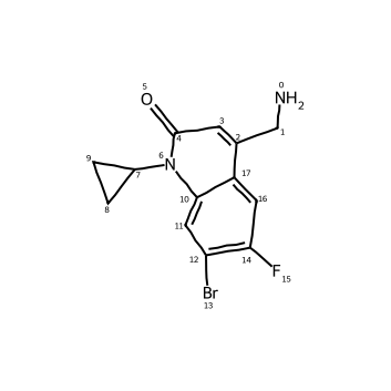 NCc1cc(=O)n(C2CC2)c2cc(Br)c(F)cc12